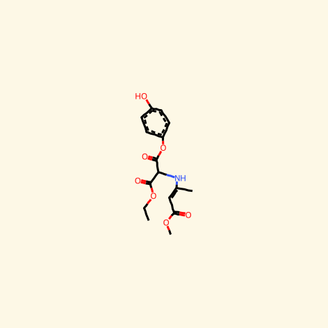 CCOC(=O)C(NC(C)=CC(=O)OC)C(=O)Oc1ccc(O)cc1